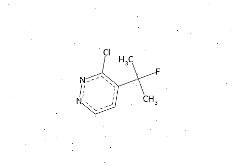 CC(C)(F)c1c[c]nnc1Cl